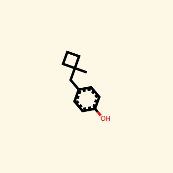 CC1(Cc2ccc(O)cc2)CCC1